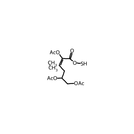 CC.CC(=O)OCC(CC=C(OC(C)=O)C(=O)OS)OC(C)=O